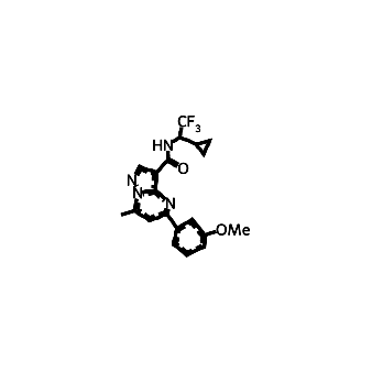 COc1cccc(-c2cc(C)n3ncc(C(=O)NC(C4CC4)C(F)(F)F)c3n2)c1